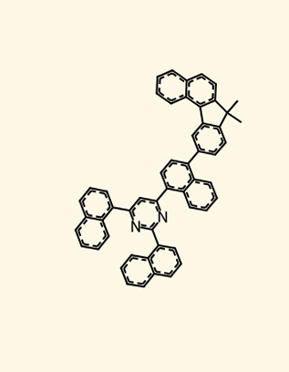 CC1(C)c2ccc(-c3ccc(-c4cc(-c5cccc6ccccc56)nc(-c5cccc6ccccc56)n4)c4ccccc34)cc2-c2c1ccc1ccccc21